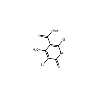 CCc1c(C)c(C(=O)OC)c(Cl)[nH]c1=O